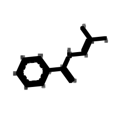 C=C(SC=C(C)C)c1ccccc1